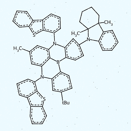 Cc1cc2c3c(c1)N(c1cccc4c1sc1ccccc14)c1cc(C(C)(C)C)ccc1B3c1ccc(N3c4ccccc4C4(C)CCCCC34C)cc1N2c1cccc2c1sc1ccccc12